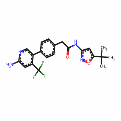 CC(C)(C)c1cc(NC(=O)Cc2ccc(-c3cnc(N)cc3C(F)(F)F)cc2)no1